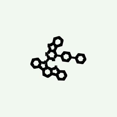 c1ccc(-c2ccc(-c3nc(-n4c5ccccc5c5ccc6c7ccccc7sc6c54)nc4sc5ccccc5c34)cc2)cc1